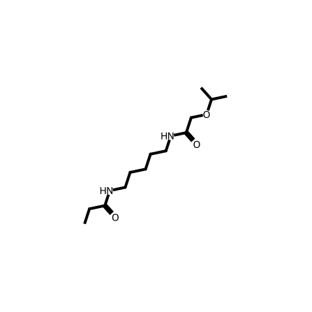 CCC(=O)NCCCCCNC(=O)COC(C)C